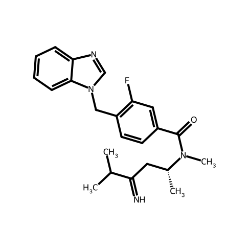 CC(C)C(=N)C[C@@H](C)N(C)C(=O)c1ccc(Cn2cnc3ccccc32)c(F)c1